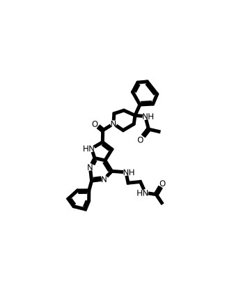 CC(=O)NCCNc1nc(-c2ccccc2)nc2[nH]c(C(=O)N3CCC(NC(C)=O)(c4ccccc4)CC3)cc12